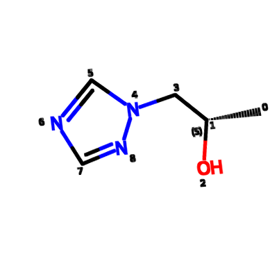 C[C@H](O)Cn1cncn1